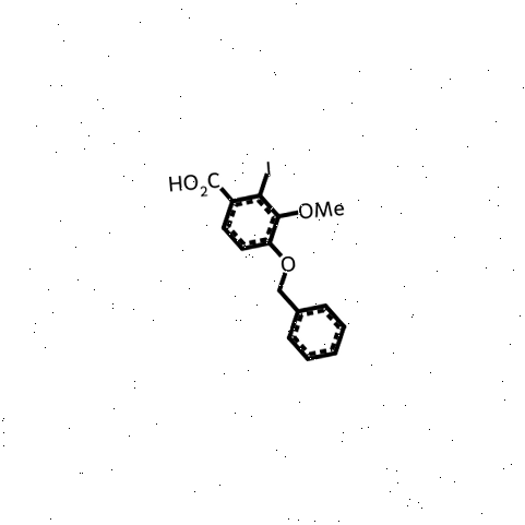 COc1c(OCc2ccccc2)ccc(C(=O)O)c1I